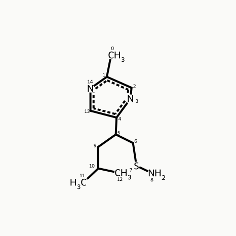 Cc1cnc(C(CSN)CC(C)C)cn1